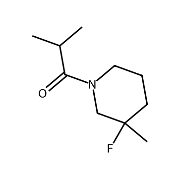 CC(C)C(=O)N1CCCC(C)(F)C1